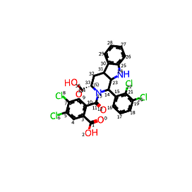 O=C(O)c1cc(Cl)c(Cl)cc1C(=O)N1C(c2cccc(Cl)c2Cl)C2Nc3ccccc3C2C[C@H]1C(=O)O